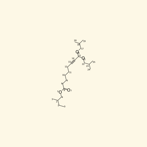 CCC(C)COC(=O)CCCCCC#CC(OCC(C)C)OCC(C)C